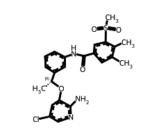 Cc1cc(C(=O)Nc2cccc([C@@H](C)Oc3cc(Cl)cnc3N)c2)cc(S(C)(=O)=O)c1C